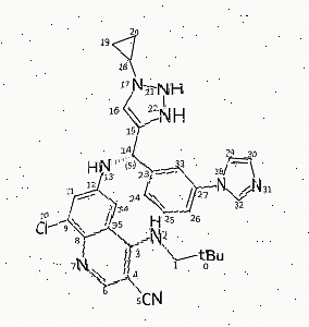 CC(C)(C)CNc1c(C#N)cnc2c(Cl)cc(N[C@H](C3=CN(C4CC4)NN3)c3cccc(-n4ccnc4)c3)cc12